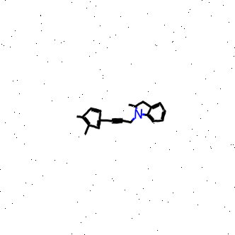 Cc1ccc(C#CCN2c3ccccc3CC2C)cc1C